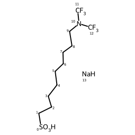 O=S(=O)(O)CCCCCCCCCN(C(F)(F)F)C(F)(F)F.[NaH]